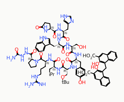 CC(C)C[C@H](NC(=O)[C@@H](COC(C)(C)C)NC(=O)[C@H](Cc1ccc(O)cc1)NC(=O)[C@H](CO)NC(=O)[C@H](Cc1c[nH]c2ccccc12)NC(=O)[C@H](Cc1c[nH]cn1)NC(=O)[C@@H]1CCC(=O)N1)C(=O)N[C@@H](CCCNC(=N)N)C(=O)N1CCC[C@H]1C(=O)NNC(N)=O.O=C(O)c1cc2ccccc2c(Cc2c(O)c(C(=O)O)cc3ccccc23)c1O